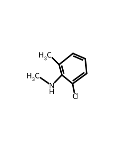 CNc1c(C)cccc1Cl